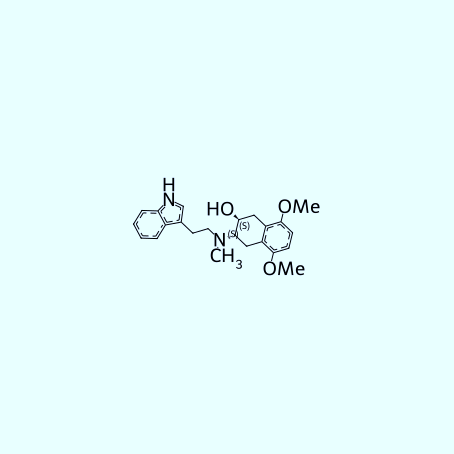 COc1ccc(OC)c2c1C[C@H](O)[C@@H](N(C)CCc1c[nH]c3ccccc13)C2